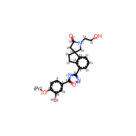 CC(C)Oc1ccc(-c2nc(-c3cccc4c3CCC43CC(=O)N(CCO)C3)no2)cc1Br